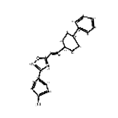 Clc1ccc(-c2noc(C=CC3CCC(c4cc[c]cc4)CC3)n2)cc1